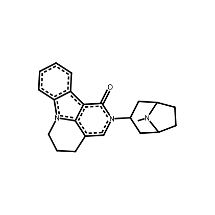 CN1C2CCC1CC(n1cc3c4c(c1=O)c1ccccc1n4CCC3)C2